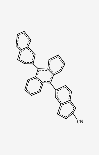 N#Cc1ccc2cc(-c3c4ccccc4c(-c4ccc5ccccc5c4)c4ccccc34)ccc2c1